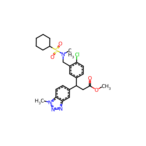 COC(=O)CC(c1ccc(Cl)c(CN(C)S(=O)(=O)C2CCCCC2)c1)c1ccc2c(c1)nnn2C